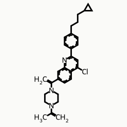 C=C(C)N1CCN(C(=C)c2ccc3c(Cl)cc(-c4ccc(CCCC5CC5)cc4)nc3c2)CC1